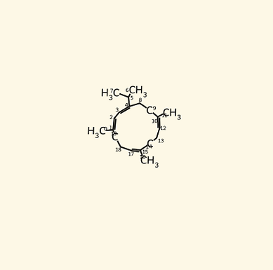 CC1=CC=C(C(C)C)CCC(C)=CCCC(C)=CCC1